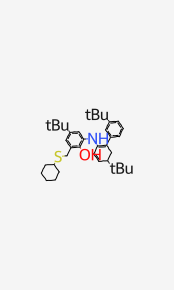 CC(C)(C)c1cccc(C2=C(Nc3cc(C(C)(C)C)cc(CSC4CCCCC4)c3O)C=CC(C(C)(C)C)C2)c1